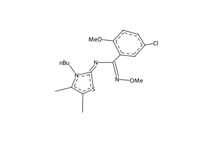 CCCCn1c(C)c(C)s/c1=N\C(=N\OC)c1cc(Cl)ccc1OC